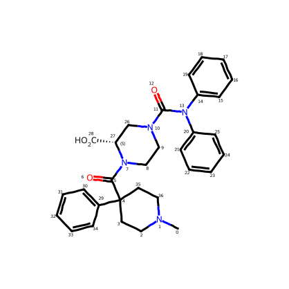 CN1CCC(C(=O)N2CCN(C(=O)N(c3ccccc3)c3ccccc3)C[C@H]2C(=O)O)(c2ccccc2)CC1